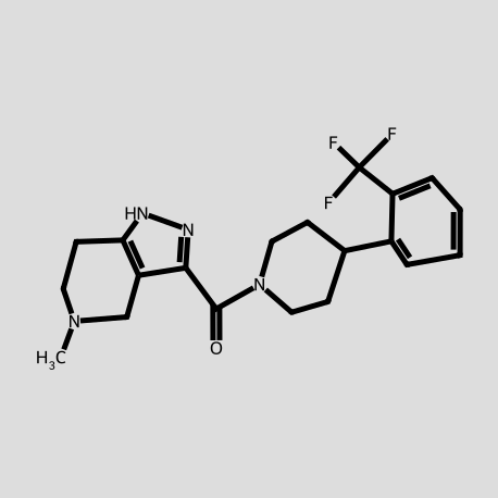 CN1CCc2[nH]nc(C(=O)N3CCC(c4ccccc4C(F)(F)F)CC3)c2C1